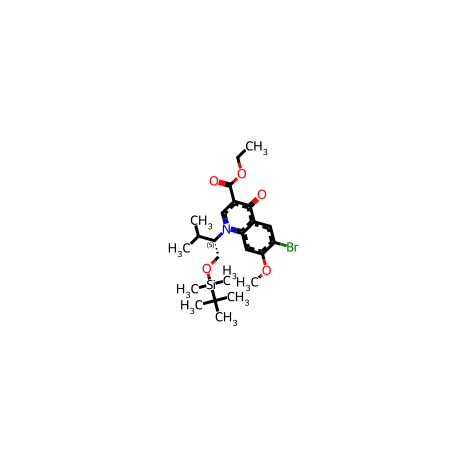 CCOC(=O)c1cn([C@H](CO[Si](C)(C)C(C)(C)C)C(C)C)c2cc(OC)c(Br)cc2c1=O